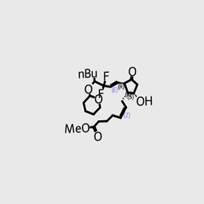 CCCCC(OC1CCCCO1)C(F)(F)/C=C/[C@H]1C(=O)C[C@H](O)[C@@H]1C/C=C\CCCC(=O)OC